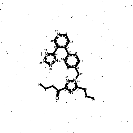 CCCC(=O)c1nc(CCC)n(Cc2ccc(-c3ccncc3-c3nnn[nH]3)cc2)n1